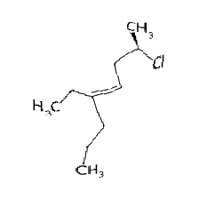 CCC/C(=C/C[C@@H](C)Cl)CC